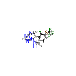 Cc1cc(N[C@H](C)c2ccc(SC(F)(F)F)c(F)c2)n2ncnc2n1